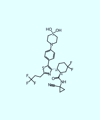 N#CC1(NC(=O)[C@@H]2CC(F)(F)CC[C@H]2c2nc(CCC(F)(F)F)sc2-c2ccc(N3CCS(O)(O)CC3)cc2)CC1